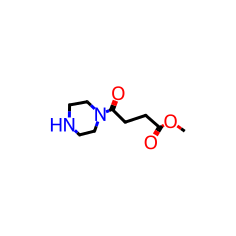 COC(=O)CCC(=O)N1CCNCC1